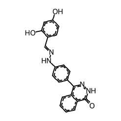 O=c1[nH]nc(-c2ccc(NN=Cc3ccc(O)cc3O)cc2)c2ccccc12